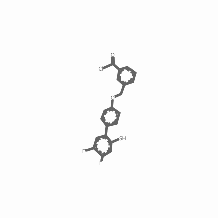 O=C(Cl)c1cccc(COc2ccc(-c3cc(F)c(F)cc3S)cc2)c1